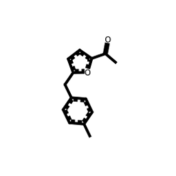 CC(=O)c1ccc(Cc2ccc(C)cc2)o1